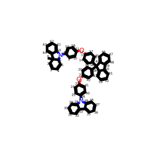 CC12C=CC=CC1N(c1ccc(Oc3ccc(C4(c5ccc(Oc6ccc(-n7c8ccccc8c8ccccc87)cc6)cc5)c5ccccc5-c5ccccc54)cc3)cc1)c1ccccc12